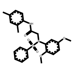 COc1ccc(OC)c(N(CC(=O)Nc2ccc(C)cc2C)S(=O)(=O)c2ccccc2)c1